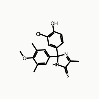 COc1c(C)cc(C2(c3ccc(O)c(Cl)c3)N=C(C)C(=S)N2)cc1C